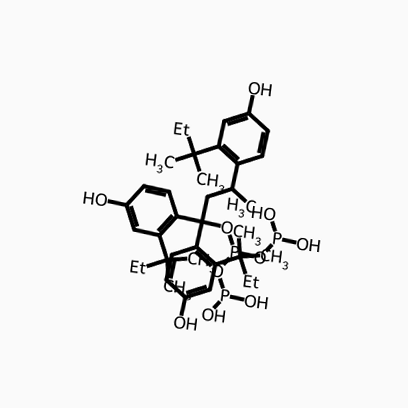 CCC(C)(C)c1cc(O)ccc1C(C)CC(OP(OP(O)O)OP(O)O)(c1ccc(O)cc1C(C)(C)CC)c1ccc(O)cc1C(C)(C)CC